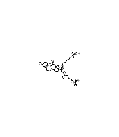 C[C@]12CCC(=O)C=C1CCC1C3CC[C@](OC(=O)CCCCCON(O)O)(C(=O)COC(=O)CCCON(O)O)[C@@]3(C)C[C@H](O)[C@@H]12